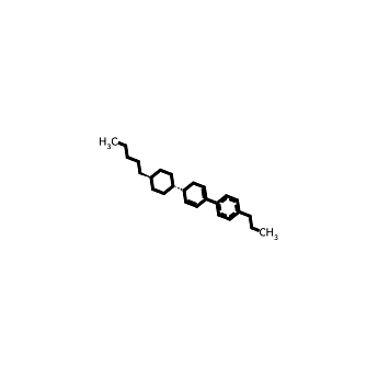 CCCCC[C@H]1CC[C@H](C2C=CC(c3ccc(CCC)cc3)=CC2)CC1